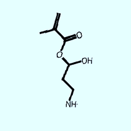 C=C(C)C(=O)OC(O)CC[NH]